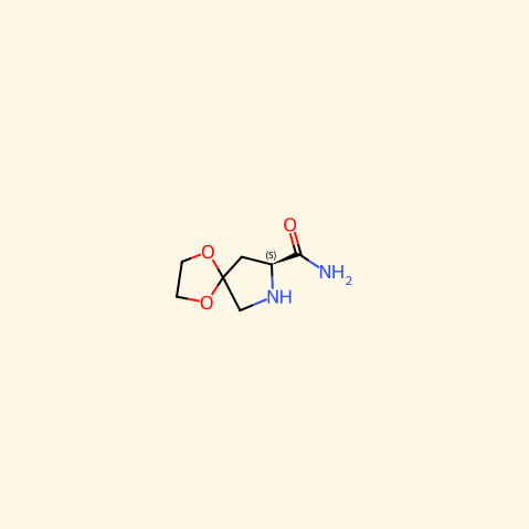 NC(=O)[C@@H]1CC2(CN1)OCCO2